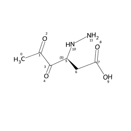 CC(=O)C(=O)[C@H](CC(=O)O)NN